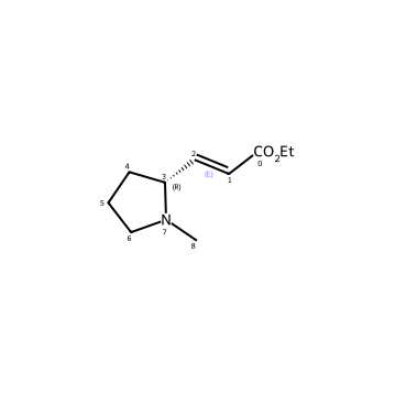 CCOC(=O)/C=C/[C@H]1CCCN1C